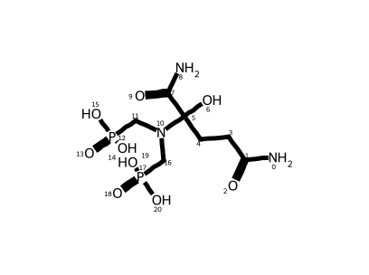 NC(=O)CCC(O)(C(N)=O)N(CP(=O)(O)O)CP(=O)(O)O